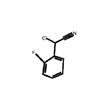 N#CC(Cl)c1ccccc1F